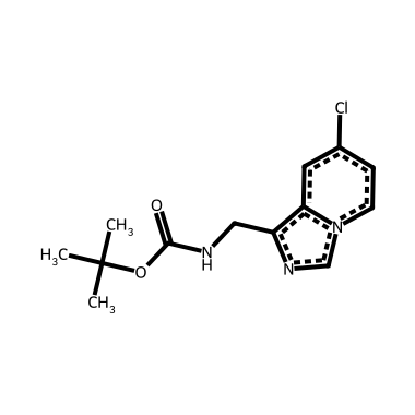 CC(C)(C)OC(=O)NCc1ncn2ccc(Cl)cc12